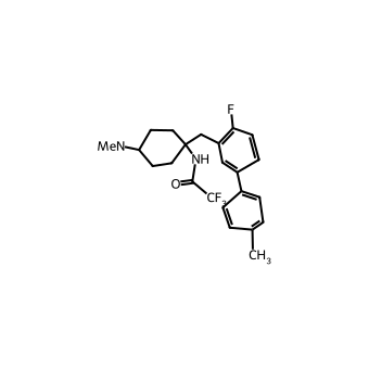 CNC1CCC(Cc2cc(-c3ccc(C)cc3)ccc2F)(NC(=O)C(F)(F)F)CC1